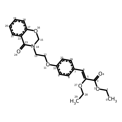 CCOC(=O)C(=Cc1ccc(OCCN2COc3ccccc3C2=O)cc1)OCC